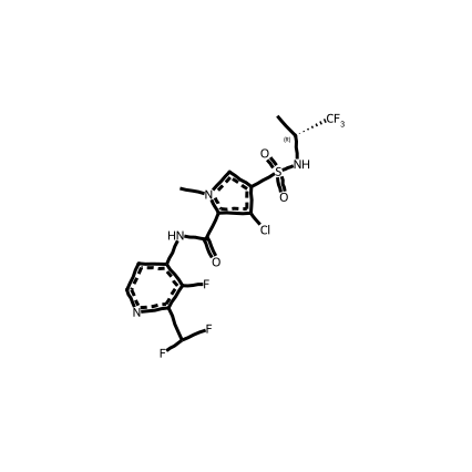 C[C@@H](NS(=O)(=O)c1cn(C)c(C(=O)Nc2ccnc(C(F)F)c2F)c1Cl)C(F)(F)F